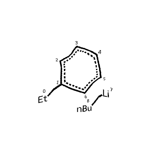 CCc1ccccc1.[Li][CH2]CCC